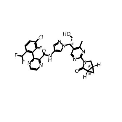 Cc1nc(N2C[C@@H]3C[C@@H]3C2=O)ncc1[C@@H](CO)n1cc(NC(=O)c2nccnc2-c2c(C(F)F)ccc(Cl)c2F)cn1